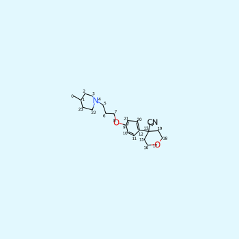 CC1CCN(CCCOc2ccc(C3(C#N)CCOCC3)cc2)CC1